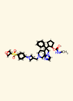 CNC(=O)OC1CCCC1C(Cn1ccnc1)(c1ccccc1)C1CCN(CC2CN(c3ccc(S(=O)(=O)C4COC4)cc3)C2)CC1